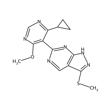 COc1ncnc(C2CC2)c1-c1ncc2c(SC)n[nH]c2n1